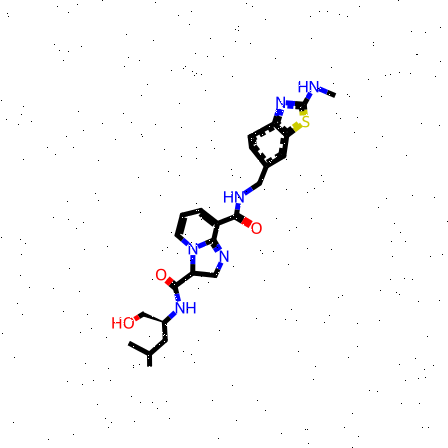 CNc1nc2ccc(CNC(=O)C3=CC=CN4C3=NCC4C(=O)N[C@H](CO)CC(C)C)cc2s1